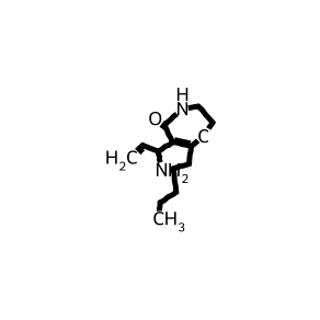 C=CC(N)C1=C(CCCCC)CCCNC1=O